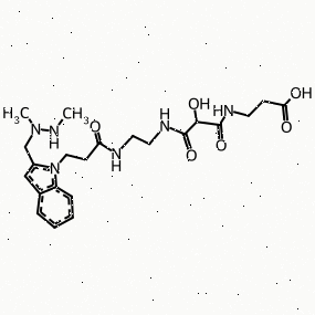 CNN(C)Cc1cc2ccccc2n1CCC(=O)NCCNC(=O)C(O)C(=O)NCCC(=O)O